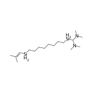 CC(C)=C[SiH2]CCCCCCCC[SiH2]C(N(C)C)N(C)C